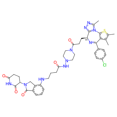 Cc1sc2c(c1C)C(c1ccc(Cl)cc1)=N[C@@H](CCC(=O)N1CCN(NC(=O)CCCNc3cccc4c3CN(C3CCC(=O)NC3=O)C4=O)CC1)c1nnc(C)n1-2